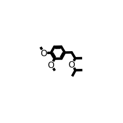 COc1ccc(CC(C)OC(C)C)cc1OC